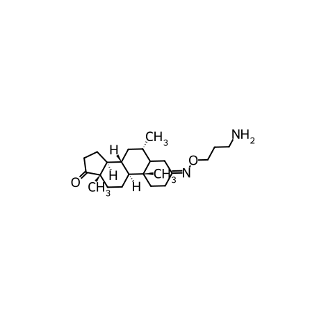 C[C@H]1C[C@@H]2[C@H](CC[C@]3(C)C(=O)CC[C@@H]23)[C@@]2(C)CC/C(=N/OCCCN)CC12